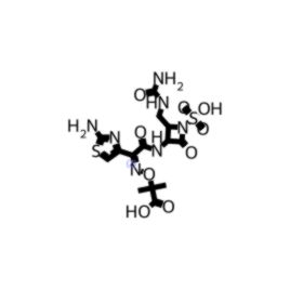 CC(C)(O/N=C(\C(=O)NC1C(=O)N(S(=O)(=O)O)C1CNC(N)=O)c1csc(N)n1)C(=O)O